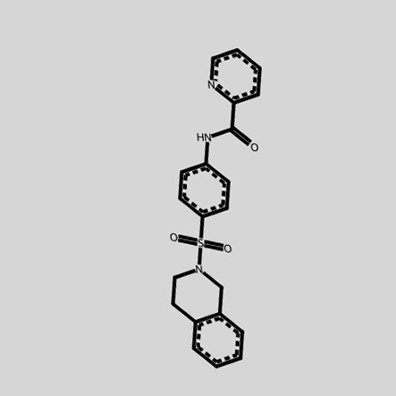 O=C(Nc1ccc(S(=O)(=O)N2CCc3ccccc3C2)cc1)c1ccccn1